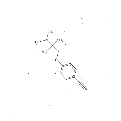 CN(C)C(C)(C)COc1ccc(C#N)cc1